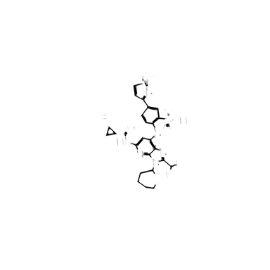 Cn1ccc(-c2ccc(Nc3cc(NC(=O)[C@@H]4C[C@@H]4F)nc4c3nc(C(F)F)n4C3CCCCO3)c(S(C)(=O)=O)c2)n1